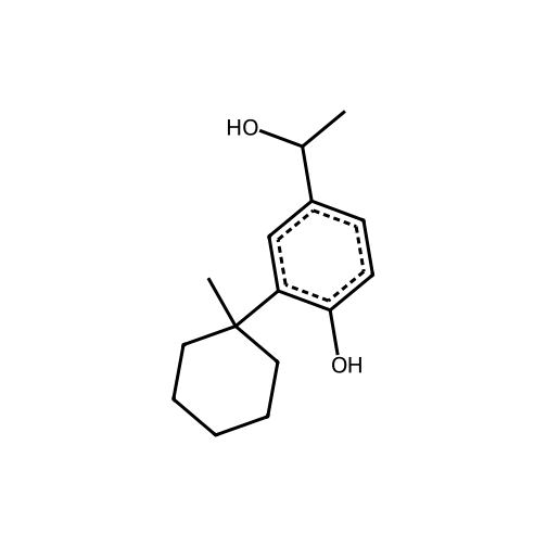 CC(O)c1ccc(O)c(C2(C)CCCCC2)c1